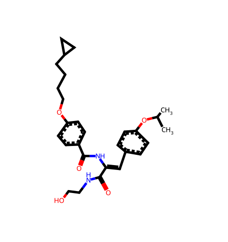 CC(C)Oc1ccc(/C=C(\NC(=O)c2ccc(OCCCCC3CC3)cc2)C(=O)NCCO)cc1